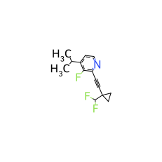 CC(C)c1ccnc(C#CC2(C(F)F)CC2)c1F